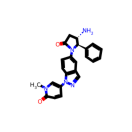 Cn1cc(-n2ncc3cc(N4C(=O)C[C@H](N)[C@H]4c4ccccc4)ccc32)ccc1=O